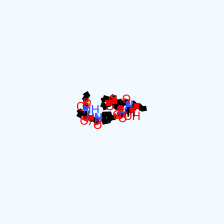 C=CCOC(=O)N[C@H](C(=O)N[C@@H](C)C(=O)Nc1ccc(COC(=O)N2c3cc(O[Si](C(C)C)(C(C)C)C(C)C)c(OC)cc3C(=O)N3C=C(C=CC)C[C@H]3[C@@H]2O)cc1)C(C)C